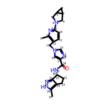 Cc1nc(N2CC3CC3C2)ccc1Cn1cnc(C(=O)N[C@@H]2CCc3c2n[nH]c3C)c1